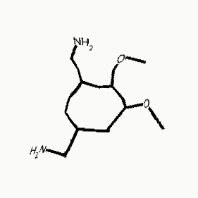 COC1CC(CN)CC(CN)C1OC